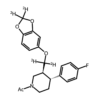 [2H]C1([2H])Oc2ccc(OC([2H])([2H])[C@@H]3CN(C(C)=O)CC[C@H]3c3ccc(F)cc3)cc2O1